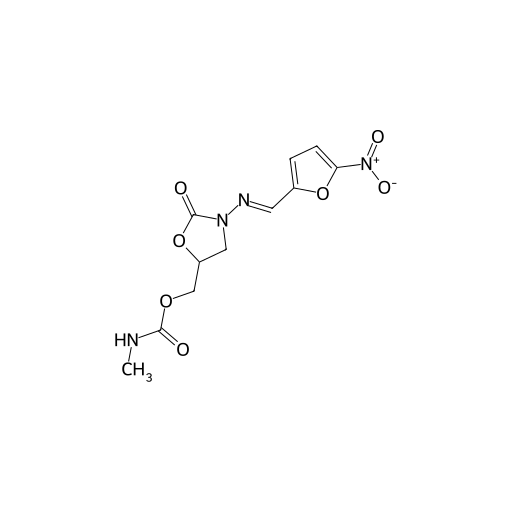 CNC(=O)OCC1CN(/N=C/c2ccc([N+](=O)[O-])o2)C(=O)O1